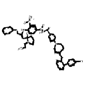 CC1(CC(CSc2ccccc2)Nc2ccc([S+]([O-])NC(=O)c3ccc(N4CCC(Cc5ccccc5-c5ccc(Cl)cc5)CC4)cc3)cc2[S+]([O-])C(F)(F)F)CCCN1CCO